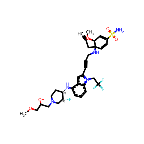 C#CCC1(NCC#Cc2cc3c(N[C@H]4CCN(CC(O)COC)C[C@H]4F)cccc3n2CC(F)(F)F)C=CC(S(N)(=O)=O)=CC1OC